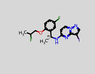 CC(F)COc1ccc(F)cc1[C@@H](C)Nc1ccn2ncc(I)c2n1